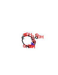 CO[C@H]1C[C@@H]2CC[C@@H](C)[C@@](O)(O2)C(=O)C(=O)N2CCCC[C@H]2C(=O)OC([C@H](C)C[C@@H]2CCC(O)[C@H](OC)C2)CC(=O)[C@H](C)/C=C(\C)[C@@H](O)[C@@H](OC)C(=O)[C@H](C)C[C@H](C)/C=C/C=C/C=C/1C